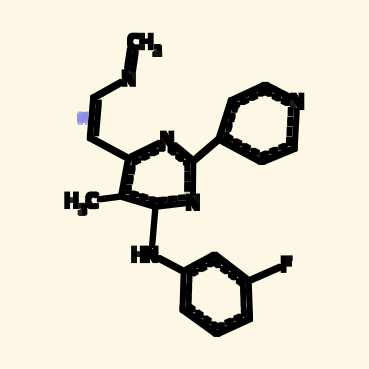 C=N/C=C\c1nc(-c2ccncc2)nc(Nc2cccc(F)c2)c1C